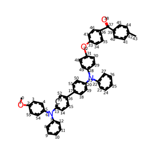 COc1ccc(N(c2ccccc2)c2ccc(-c3ccc(N(c4ccccc4)c4ccc(Oc5ccc(C(=O)c6ccc(C)cc6)cc5)cc4)cc3)cc2)cc1